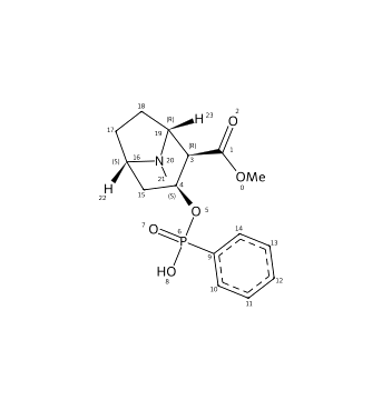 COC(=O)[C@H]1[C@@H](OP(=O)(O)c2ccccc2)C[C@@H]2CC[C@H]1N2C